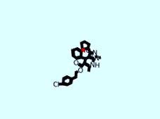 CC1=C(C(=O)OCCc2ccc(Cl)cc2)C(c2ccccc2[N+](=O)[O-])c2c(C3CCCC3)nn(C)c2N1